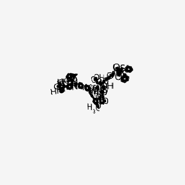 COc1ccc(C#CCNC2(C)CCN(C3CCN(c4nc([C@@](CO)(OC5CC5)c5ccccc5)c5cc(-c6cn(C)c(=O)c7[nH]ccc67)ccc5n4)CC3)CC2)cc1N1CCC(=O)N(CNC(=O)[C@H](CC(=O)O)NC(=O)[C@H](CCC(=O)O)NC(=O)CCOCCOCCN2C(=O)C(Sc3ccccc3)=C(Sc3ccccc3)C2=O)C1=O